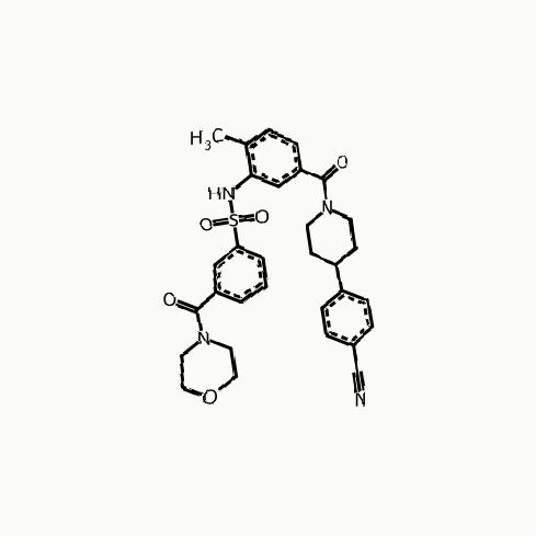 Cc1ccc(C(=O)N2CCC(c3ccc(C#N)cc3)CC2)cc1NS(=O)(=O)c1cccc(C(=O)N2CCOCC2)c1